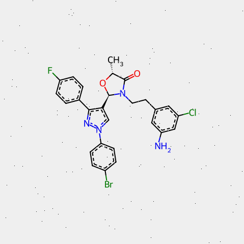 C[C@H]1O[C@H](c2cn(-c3ccc(Br)cc3)nc2-c2ccc(F)cc2)N(CCc2cc(N)cc(Cl)c2)C1=O